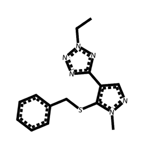 CCn1nnc(-c2cnn(C)c2SCc2ccccc2)n1